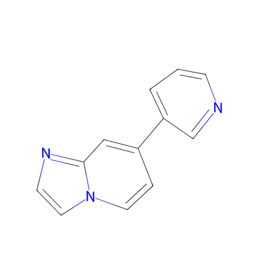 c1cncc(-c2ccn3ccnc3c2)c1